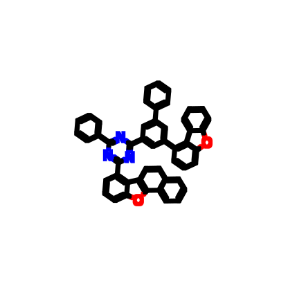 c1ccc(-c2cc(-c3nc(-c4ccccc4)nc(-c4cccc5oc6c7ccccc7ccc6c45)n3)cc(-c3cccc4oc5ccccc5c34)c2)cc1